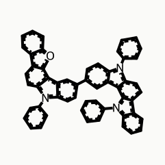 c1ccc(-n2c3ccc(-c4ccc5c(c4)c4c(ccc6c7ccccc7n(-c7ccccc7)c64)n5-c4ccccc4)cc3c3c4oc5ccccc5c4ccc32)cc1